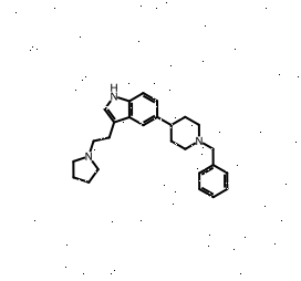 c1ccc(CN2CCC(c3ccc4[nH]cc(CCN5CCCC5)c4c3)CC2)cc1